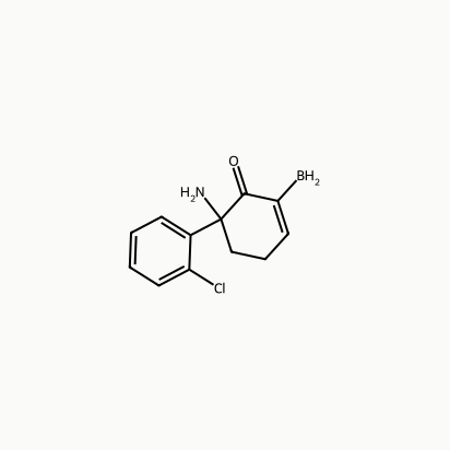 BC1=CCCC(N)(c2ccccc2Cl)C1=O